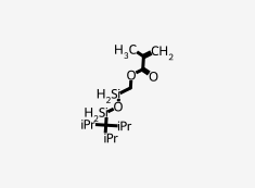 C=C(C)C(=O)OC[SiH2]O[SiH2]C(C(C)C)(C(C)C)C(C)C